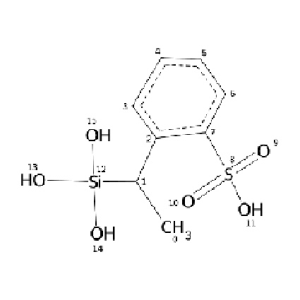 CC(c1ccccc1S(=O)(=O)O)[Si](O)(O)O